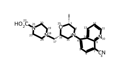 C[C@@H]1CN(c2ccc(C#N)c3ncccc23)C[C@H](CN2CCN(C(=O)O)CC2)O1